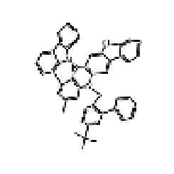 Cc1cc2c3c(c1)N(Cc1ccc(C(C)(C)C)cc1-c1ccccc1)c1cc4c(cc1B3n1c3ccccc3c3cccc-2c31)oc1ccccc14